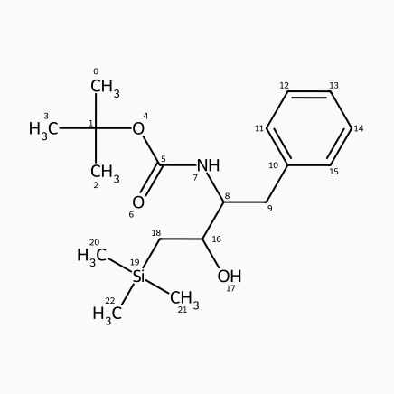 CC(C)(C)OC(=O)NC(Cc1ccccc1)C(O)C[Si](C)(C)C